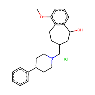 COc1cccc2c1CCC(CN1CCC(c3ccccc3)CC1)CC2O.Cl